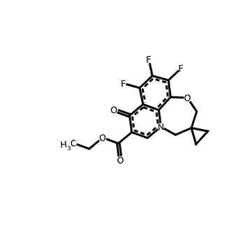 CCOC(=O)c1cn2c3c(c(F)c(F)c(F)c3c1=O)OCC1(CC1)C2